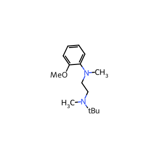 COc1ccccc1N(C)CCN(C)C(C)(C)C